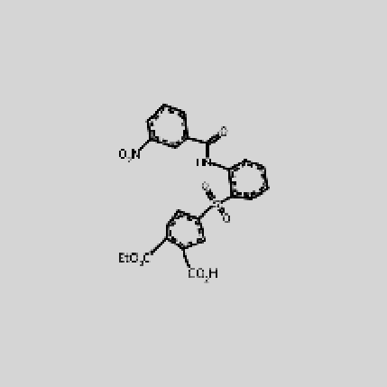 CCOC(=O)c1ccc(S(=O)(=O)c2ccccc2NC(=O)c2cccc([N+](=O)[O-])c2)cc1C(=O)O